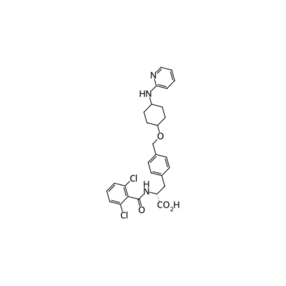 O=C(N[C@H](Cc1ccc(COC2CCC(Nc3ccccn3)CC2)cc1)C(=O)O)c1c(Cl)cccc1Cl